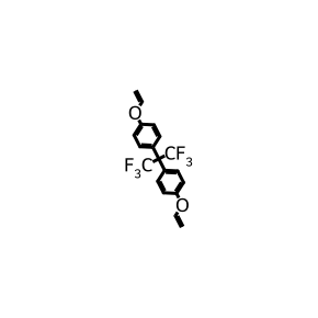 C=COc1ccc(C(c2ccc(OC=C)cc2)(C(F)(F)F)C(F)(F)F)cc1